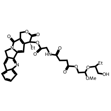 CCC(CO)OC(COC(=O)CCC(=O)NCC(=O)O[C@]1(CC)C(=O)OCc2c1cc1n(c2=O)Cc2cc3ccccc3nc2-1)OC